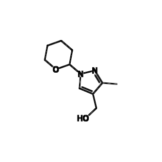 Cc1nn(C2CCCCO2)cc1CO